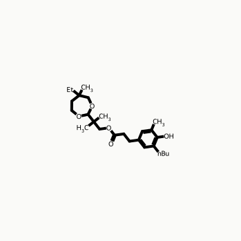 CCCCc1cc(CCC(=O)OCC(C)(C)C2OCCC(C)(CC)CO2)cc(C)c1O